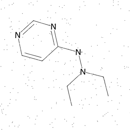 CCN(CC)[N]c1ccncn1